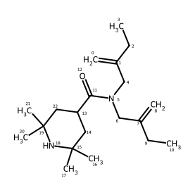 C=C(CC)CN(CC(=C)CC)C(=O)C1CC(C)(C)NC(C)(C)C1